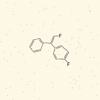 FC=C(c1ccccc1)c1ccc(F)cc1